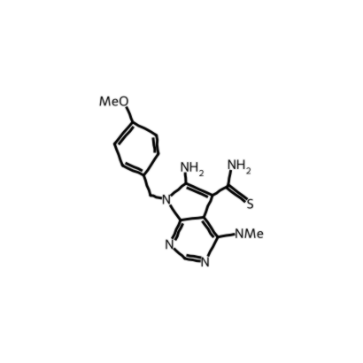 CNc1ncnc2c1c(C(N)=S)c(N)n2Cc1ccc(OC)cc1